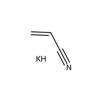 C=CC#N.[KH]